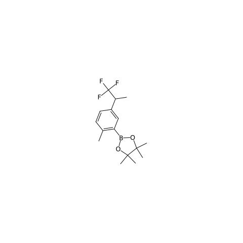 Cc1ccc(C(C)C(F)(F)F)cc1B1OC(C)(C)C(C)(C)O1